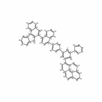 c1ccc(-c2nc(-c3ccc(-c4ccc(-c5nc6ccccc6c6c5oc5ccccc56)c5ccccc45)cc3)nc(-c3ccc4ccc5cccc6ccc3c4c56)n2)cc1